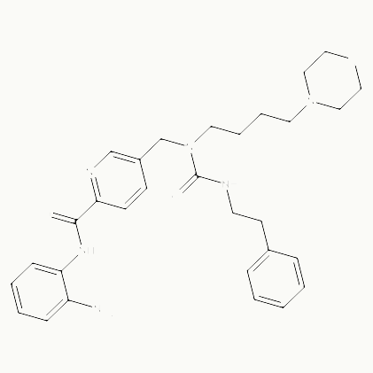 Nc1ccccc1NC(=O)c1ccc(CN(CCCCN2CCOCC2)C(=O)NCCc2ccccc2)cn1